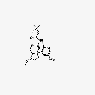 CO[C@H]1CCC2(c3cc(N)ccc3F)N=C(NC(=O)OC(C)(C)C)SCC12